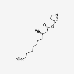 CCCCCCCCCCCCCCCCCC(=O)CC(=O)ON1C=NCC1.[Ag]